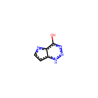 Oc1nn[nH]c2ccnc1-2